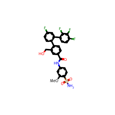 COc1cc(NC(=O)c2ccc(-c3ccc(F)cc3-c3ccc(F)c(F)c3F)c(CO)c2)ccc1S(N)(=O)=O